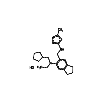 CCN(CC1CCCC1)c1cc2c(cc1CNc1ncc(C)s1)CCC2.Cl